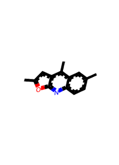 Cc1ccc2nc3oc(C)cc3c(C)c2c1